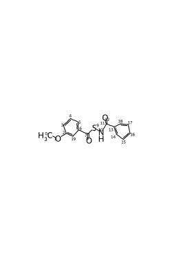 COc1cccc(C(=O)SNC(=O)c2ccccc2)c1